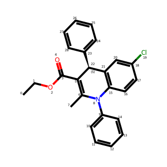 CCOC(=O)C1=C(C)N(c2ccccc2)c2ccc(Cl)cc2[C@@H]1c1ccccc1